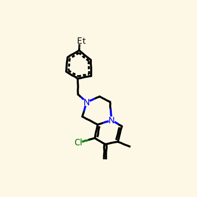 C=C1C(C)=CN2CCN(Cc3ccc(CC)cc3)CC2=C1Cl